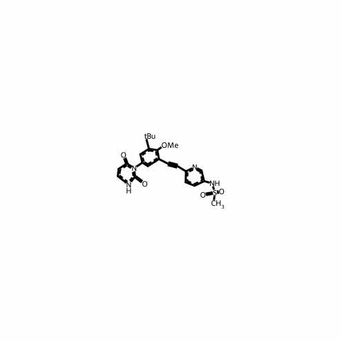 COc1c(C#Cc2ccc(NS(C)(=O)=O)cn2)cc(-n2c(=O)cc[nH]c2=O)cc1C(C)(C)C